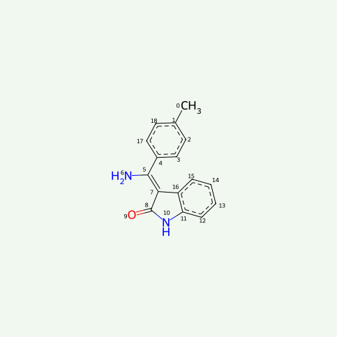 Cc1ccc(/C(N)=C2/C(=O)Nc3ccccc32)cc1